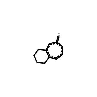 O=c1cccc2c(c1)CCCC2